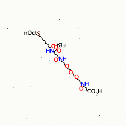 CCCCCCCCSCCCCCCCC(=O)NC(CCC(=O)NCCCOCCOCCOCCCNC(=O)CCC(=O)O)C(=O)OC(C)(C)C